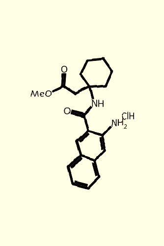 COC(=O)CC1(NC(=O)c2cc3ccccc3cc2N)CCCCC1.Cl